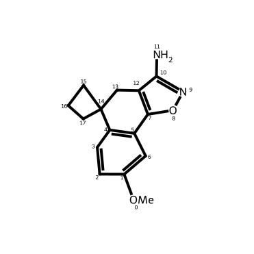 COc1ccc2c(c1)-c1onc(N)c1CC21CCC1